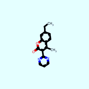 CCc1ccc2c(C)c(-c3ncccn3)c(=O)oc2c1